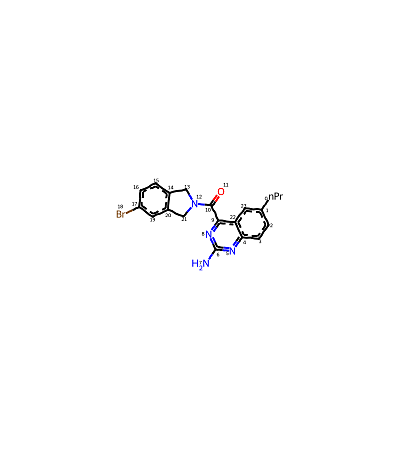 CCCc1ccc2nc(N)nc(C(=O)N3Cc4ccc(Br)cc4C3)c2c1